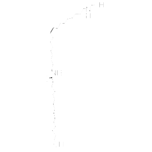 CCCCCCCCCCCCCCCC(=O)NCCCCCCCC/C=C\CCCCCCCCNCC